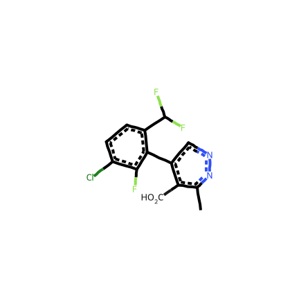 Cc1nncc(-c2c(C(F)F)ccc(Cl)c2F)c1C(=O)O